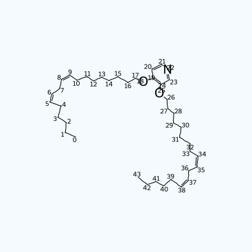 CCCCC/C=C\C/C=C\CCCCCCCCOc1ccncc1OCCCCCCCC/C=C\C/C=C\CCCCC